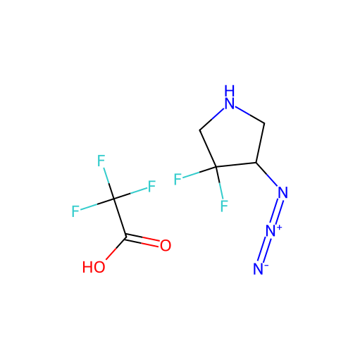 O=C(O)C(F)(F)F.[N-]=[N+]=NC1CNCC1(F)F